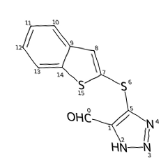 O=Cc1[nH]nnc1Sc1cc2ccccc2s1